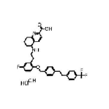 Cl.Cl.O=C(O)c1ccc2c(n1)CCCC2NCCc1cc(F)ccc1OCc1ccc(CCc2ccc(C(F)(F)F)cc2)cc1